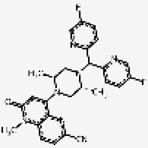 C[C@@H]1CN(c2cc(=O)n(C)c3ccc(C#N)nc23)[C@@H](C)CN1C(c1ccc(F)cn1)c1ccc(F)cn1